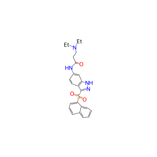 CCN(CC)CCC(=O)Nc1ccc2c(S(=O)(=O)c3cccc4ccccc34)n[nH]c2c1